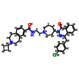 O=C(NCCN1CCCC(n2nc(Cc3ccc(Cl)cc3)c3ccccc3c2=O)CC1)c1ccc2c(c1)CCN(C1CCC1)CC2